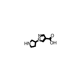 O=C(O)c1cnn(C2CCNC2)c1